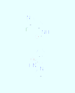 O=C(Nc1ccc2cncc(F)c2c1)C1CC1c1ccc(S(=O)(=O)Nc2ccccn2)cc1